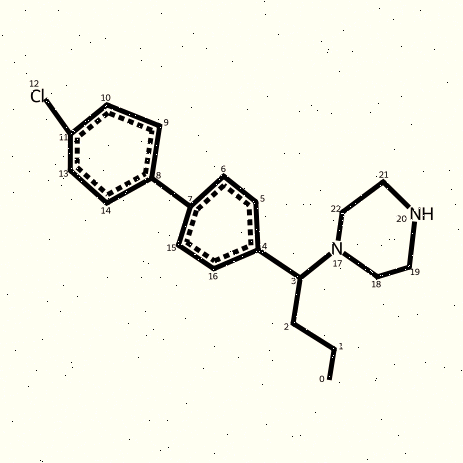 CCCC(c1ccc(-c2ccc(Cl)cc2)cc1)N1CCNCC1